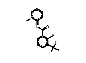 Cn1cccc/c1=N\C(=O)c1cccc(C(F)(F)F)c1F